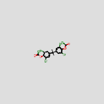 CC(C)(c1cc(Br)c(OC(=O)Cl)c(Br)c1)c1cc(Br)c(OC(=O)Cl)c(Br)c1